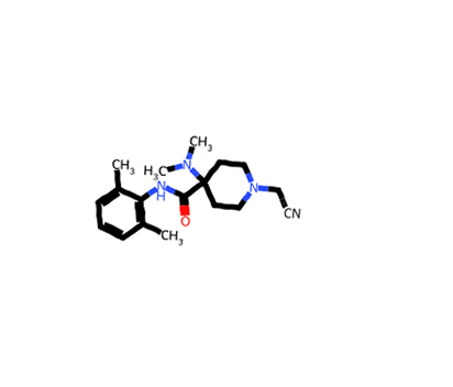 Cc1cccc(C)c1NC(=O)C1(N(C)C)CCN(CC#N)CC1